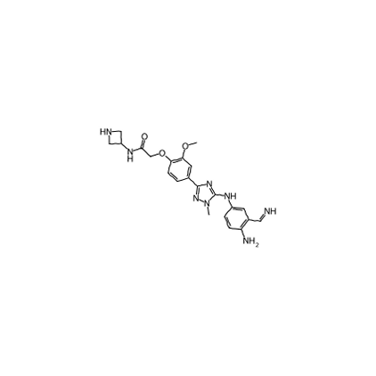 COc1cc(-c2nc(Nc3ccc(N)c(C=N)c3)n(C)n2)ccc1OCC(=O)NC1CNC1